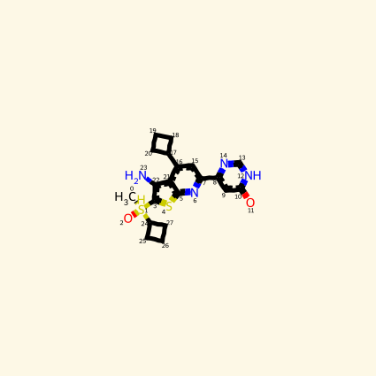 C[SH](=O)(c1sc2nc(-c3cc(=O)[nH]cn3)cc(C3CCC3)c2c1N)C1CCC1